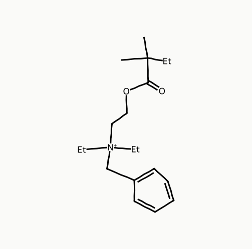 CCC(C)(C)C(=O)OCC[N+](CC)(CC)Cc1ccccc1